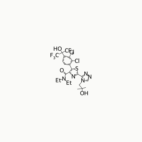 CCN(CC)C(=O)c1nc(-c2nncn2CC(C)(C)O)sc1-c1ccc(C(O)(C(F)(F)F)C(F)(F)F)c(Cl)c1Cl